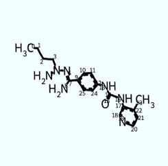 CCCCN(N)/N=C(\N)c1ccc(NC(=O)Nc2cnccc2C)cc1